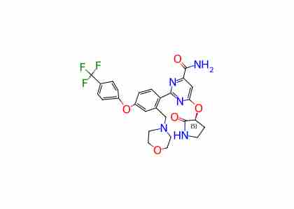 NC(=O)c1cc(O[C@H]2CCNC2=O)nc(-c2ccc(Oc3ccc(C(F)(F)F)cc3)cc2CN2CCOCC2)n1